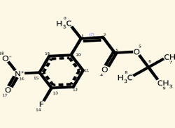 C/C(=C/C(=O)OC(C)(C)C)c1ccc(F)c([N+](=O)[O-])c1